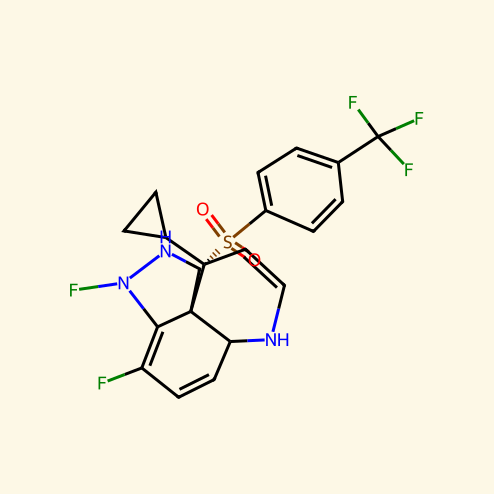 O=S(=O)(c1ccc(C(F)(F)F)cc1)[C@H]1NN(F)C2=C(F)C=CC3NC=CC(C4CC4)C231